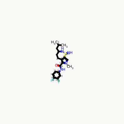 CC(C)CC1CCc2c(cn(C)c2C(=O)Nc2ccc(F)c(F)c2)S(=N)N1